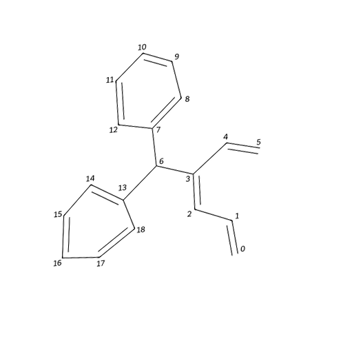 C=C/C=C(\C=C)C(c1ccccc1)c1ccccc1